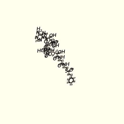 CC(C)(COP(=O)(O)OP(=O)(O)OC[C@H]1O[C@@H](n2cnc3c(N)ncnc32)[C@H](O)[C@@H]1OP(=O)(O)O)C(O)C(=O)NCCC(=O)NCCSC(=O)CCc1ccccc1